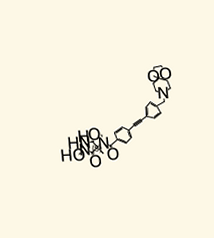 CNC(=O)[C@@](C)(C(=O)NO)N(C)C(=O)c1ccc(C#Cc2ccc(CN3CCC4(CC3)OCCO4)cc2)cc1